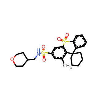 Cc1cc(S(=O)(=O)NCC2CCOCC2)cc2c1C1(CCCCC1)c1ccccc1S2(=O)=O